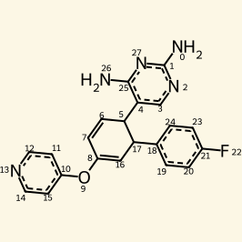 Nc1ncc(C2C=CC(Oc3ccncc3)=CC2c2ccc(F)cc2)c(N)n1